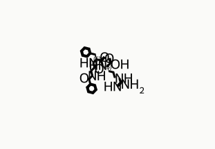 N=C(N)NCCC[C@H](NC(=O)[C@H](Cc1ccccc1)NC(=O)CNC(=O)c1ccccc1)C(=O)O